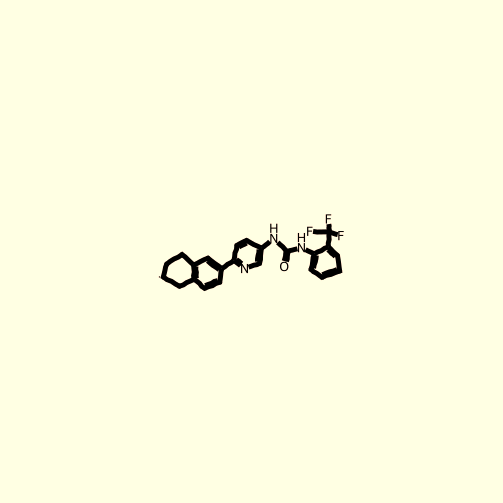 O=C(Nc1ccc(-c2ccc3c(c2)CC[CH]C3)nc1)Nc1ccccc1C(F)(F)F